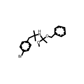 COC(C)(NC(C)(C)Cc1ccc(Br)cc1)OCc1ccccc1